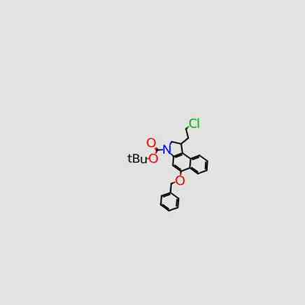 CC(C)(C)OC(=O)N1CC(CCCl)c2c1cc(OCc1ccccc1)c1ccccc21